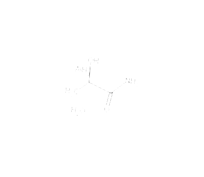 CC(O)C(N)=O.O.[AlH3]